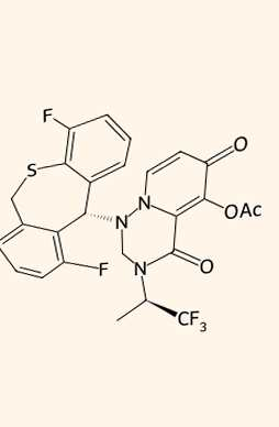 CC(=O)Oc1c2n(ccc1=O)N([C@H]1c3cccc(F)c3SCc3cccc(F)c31)CN([C@H](C)C(F)(F)F)C2=O